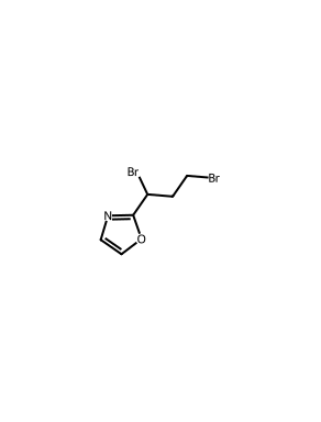 BrCCC(Br)c1ncco1